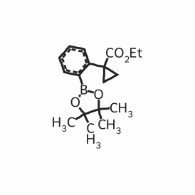 CCOC(=O)C1(c2ccccc2B2OC(C)(C)C(C)(C)O2)CC1